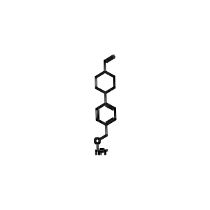 C=CC1CCC(c2ccc(COCCC)cc2)CC1